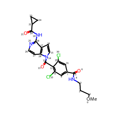 COCCCNC(=O)c1cc(Cl)c(C(=O)n2ccc3c(NC(=O)C4CC4)nccc32)c(Cl)c1